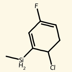 C[SiH2]C1=CC(F)=CCC1Cl